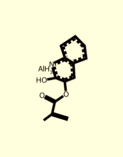 C=C(C)C(=O)Oc1cc2ccccc2nc1O.[AlH3]